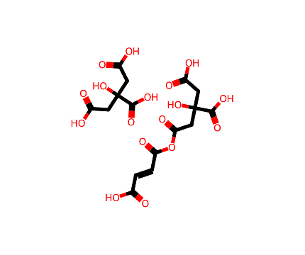 O=C(O)/C=C/C(=O)OC(=O)CC(O)(CC(=O)O)C(=O)O.O=C(O)CC(O)(CC(=O)O)C(=O)O